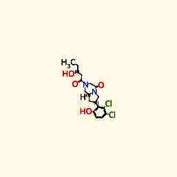 CC[C@@H](O)CC(=O)N1CC(=O)N2C[C@@H](c3c(O)ccc(Cl)c3Cl)C[C@H]2C1